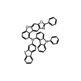 c1ccc(-c2nc3cc4c(cc3o2)oc2cccc(N(c3ccc5c(c3)sc3ccccc35)c3cccc5c3c3ccccc3n5-c3ccccc3)c24)cc1